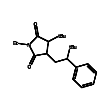 CCN1C(=O)C(CC(c2ccccc2)C(C)(C)C)C(C(C)(C)C)C1=O